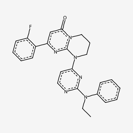 CCN(c1ccccc1)c1nccc(N2CCCn3c2nc(-c2ccccc2F)cc3=O)n1